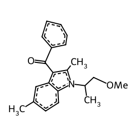 COCC(C)n1c(C)c(C(=O)c2ccccc2)c2cc(C)ccc21